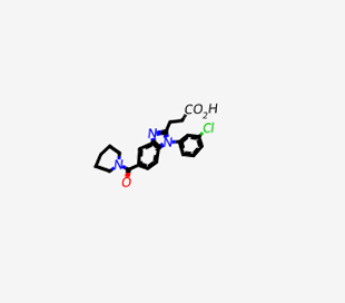 O=C(O)CCc1nc2cc(C(=O)N3CCCCC3)ccc2n1-c1cccc(Cl)c1